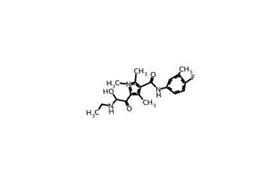 CCNC(O)C(=O)c1c(C)c(C(=O)Nc2ccc(F)c(C)c2)c(C)n1C